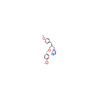 COc1ccc(/C=C(\COCc2ccc(OC)cc2)Cn2ccnc2)cc1